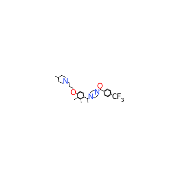 Cc1c(OCCCN2CCC(C)CC2)ccc(C(C)N2CCN(C(=O)c3ccc(C(F)(F)F)cc3)CC2)c1C